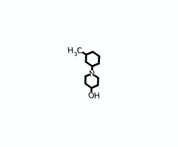 CC1CCCC(N2CCC(O)CC2)C1